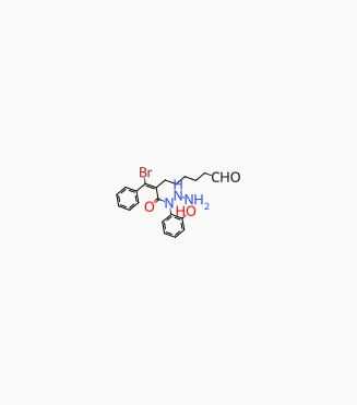 NNN(C(=O)C(CCCCCC=O)=C(Br)c1ccccc1)c1ccccc1O